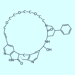 O=C1C2CC(c3ccccc3)CN1CCOCCOCCOC/C=C/c1cnc3c(c1)[C@@]1(Cc4cc(cnc4C1)C(O)N2)C(=O)N3